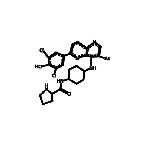 CC(=O)c1cnc2ccc(-c3cc(Cl)c(O)c(Cl)c3)nc2c1NC1CCC(NC(=O)C2CCCN2)CC1